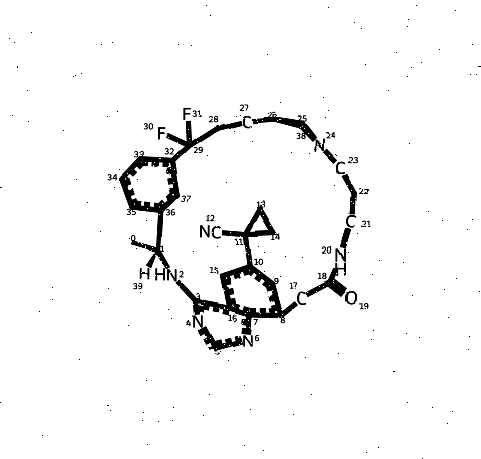 C[C@H]1Nc2ncnc3c(cc(C4(C#N)CC4)cc23)CC(=O)NCCCN2CC(CCC(F)(F)c3cccc1c3)C2